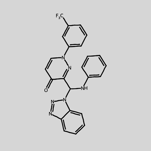 O=c1ccn(-c2cccc(C(F)(F)F)c2)nc1C(Nc1ccccc1)n1nnc2ccccc21